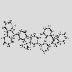 CCC1(CC)c2cc(-c3cccc(-c4nc5ccccc5n4-c4ccccc4)c3)ccc2-c2ccc(-n3c4ccccc4c4ccccc43)cc21